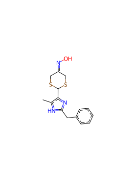 Cc1[nH]c(Cc2ccccc2)nc1C1SCC(=NO)CS1